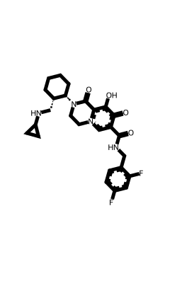 O=C(NCc1ccc(F)cc1F)c1cn2c(c(O)c1=O)C(=O)N([C@H]1CCCC[C@H]1CNC1CC1)CC2